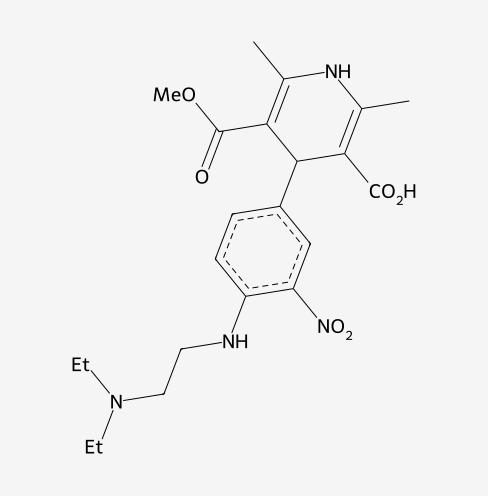 CCN(CC)CCNc1ccc(C2C(C(=O)O)=C(C)NC(C)=C2C(=O)OC)cc1[N+](=O)[O-]